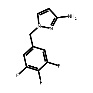 Nc1ccn(Cc2cc(F)c(F)c(F)c2)n1